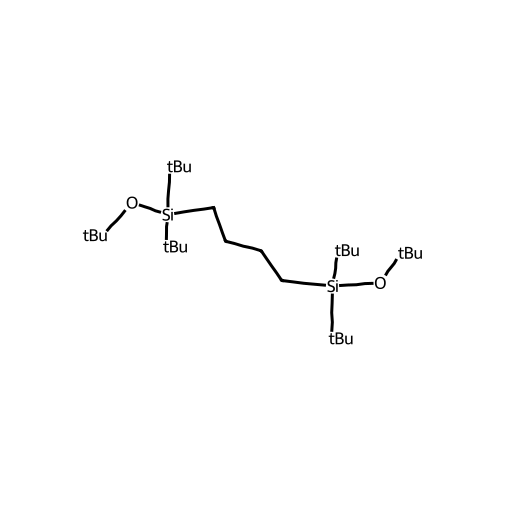 CC(C)(C)O[Si](CCCC[Si](OC(C)(C)C)(C(C)(C)C)C(C)(C)C)(C(C)(C)C)C(C)(C)C